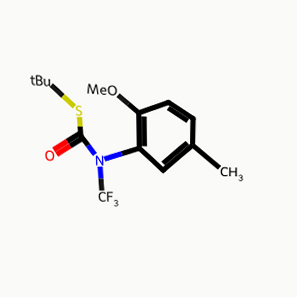 COc1ccc(C)cc1N(C(=O)SC(C)(C)C)C(F)(F)F